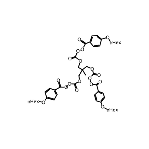 CCCCCCOc1ccc(C(=O)OOC(=O)OCC(C)(COC(=O)OOC(=O)c2ccc(OCCCCCC)cc2)COC(=O)OOC(=O)c2ccc(OCCCCCC)cc2)cc1